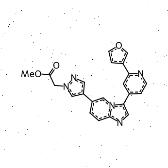 COC(=O)Cn1cc(-c2ccc3ncc(-c4ccnc(-c5ccoc5)c4)n3c2)cn1